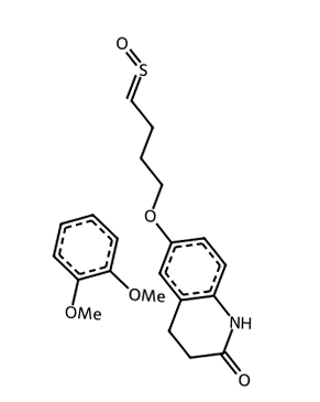 COc1ccccc1OC.O=S=CCCCOc1ccc2c(c1)CCC(=O)N2